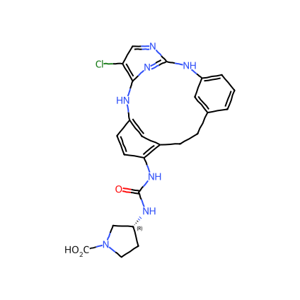 O=C(Nc1ccc2cc1CCc1cccc(c1)Nc1ncc(Cl)c(n1)N2)N[C@@H]1CCN(C(=O)O)C1